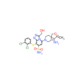 C[C@@H]1OCC2(CCN(c3cc(S(N)(=O)=O)c(Sc4cccc(Cl)c4Cl)c4nnc(CO)n34)CC2)[C@@H]1N